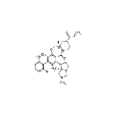 C=CC(=O)N1CCN2C(=O)c3c(N4CCC5CN(C)CC54C)nc(-c4c(O)cccc4F)c(Cl)c3OC[C@H]2C1